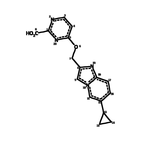 O=C(O)c1nccc(OCc2cn3cc(C4CC4)ccc3n2)n1